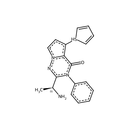 C[C@H](N)c1nn2ccc([SH]3C=CC=C3)c2c(=O)n1-c1ccccc1